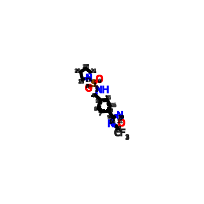 O=S(=O)(NCc1ccc(-c2noc(C(F)(F)F)n2)cc1)N1CCCC1